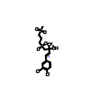 CS(=O)(=O)CCCS(=O)(=O)CC(O)(/C=C/c1ccc(Cl)c(Cl)c1)C(F)(F)F